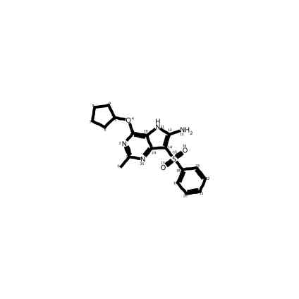 Cc1nc(OC2CCCC2)c2[nH]c(N)c(S(=O)(=O)c3ccccc3)c2n1